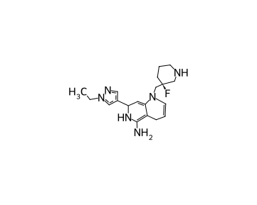 CCn1cc(C2C=C3C(=C(N)N2)CC=CN3C[C@]2(F)CCCNC2)cn1